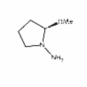 CO[C@@H]1CCCN1N